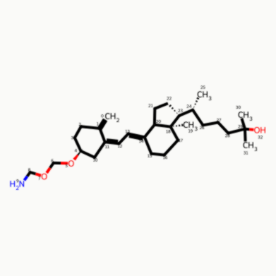 C=C1CC[C@H](OCOCN)C/C1=C/C=C1\CCC[C@@]2(C)C1CC[C@@H]2[C@H](C)CCCC(C)(C)O